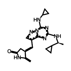 C=C1NC(=O)C/C1=C\c1cnn2c(NC3CC3)nc(N[C@@H](C)C3CC3)nc12